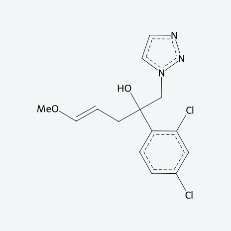 COC=CCC(O)(Cn1ccnn1)c1ccc(Cl)cc1Cl